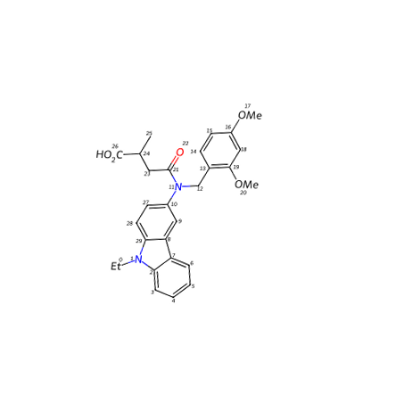 CCn1c2ccccc2c2cc(N(Cc3ccc(OC)cc3OC)C(=O)CC(C)C(=O)O)ccc21